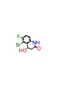 O=C1CC(O)c2c(ccc(F)c2Br)N1